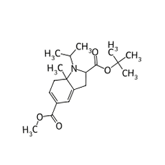 COC(=O)C1=CCC2(C)C(=C1)CC(C(=O)OC(C)(C)C)N2C(C)C